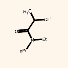 CCCN(CC)C(=O)C(C)O